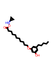 CCCCCc1cc(O)cc(OCCCCCCCCCCC(=O)ONC2CC2)c1